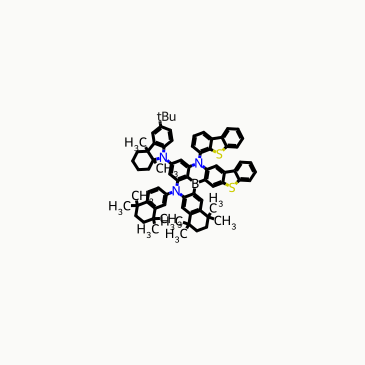 CC(C)(C)c1ccc2c(c1)C1(C)CCCCC1(C)N2c1cc2c3c(c1)N(c1cccc4c1sc1ccccc14)c1cc4c(cc1B3c1cc3c(cc1N2c1ccc2c(c1)C(C)(C)CCC2(C)C)C(C)(C)CCC3(C)C)sc1ccccc14